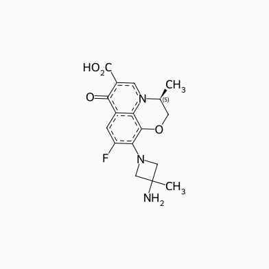 C[C@H]1COc2c(N3CC(C)(N)C3)c(F)cc3c(=O)c(C(=O)O)cn1c23